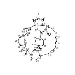 Cc1nc2c3c(n1)N(CCCCCCCN1CCC(CC1)C(F)(F)c1cccc(c1)[C@@H](C)N2)C(=O)N(C1CCS(=O)(=O)CC1)C3